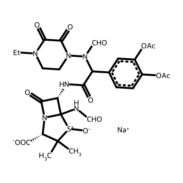 CCN1CCN(N(C=O)C(C(=O)N[C@H]2C(=O)N3[C@@H](C(=O)[O-])C(C)(C)[S+]([O-])C23NC=O)c2ccc(OC(C)=O)c(OC(C)=O)c2)C(=O)C1=O.[Na+]